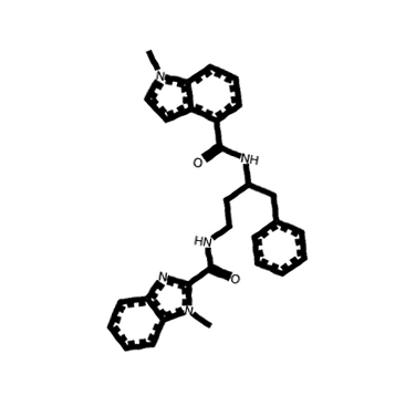 Cn1ccc2c(C(=O)NC(CCNC(=O)c3nc4ccccc4n3C)Cc3ccccc3)cccc21